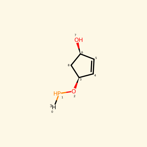 [3H]PO[C@@H]1C=C[C@H](O)C1